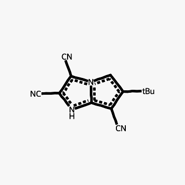 CC(C)(C)c1cn2c(C#N)c(C#N)[nH]c2c1C#N